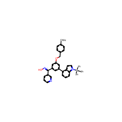 COc1ccc(COc2cc(/C(=N/O)c3cccnc3)cc(-c3cccc4c3ccn4[Si](C(C)C)(C(C)C)C(C)C)c2)cc1